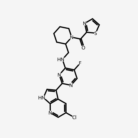 O=C(c1nccs1)N1CCCCC1CNc1nc(-c2c[nH]c3ncc(Cl)cc23)ncc1F